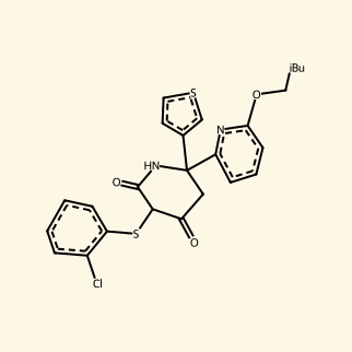 CCC(C)COc1cccc(C2(c3ccsc3)CC(=O)C(Sc3ccccc3Cl)C(=O)N2)n1